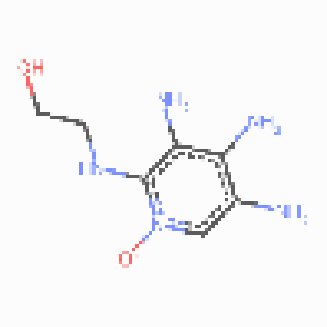 Nc1c[n+]([O-])c(NCCO)c(N)c1N